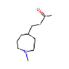 CC(=O)CCC1CCCN(C)CC1